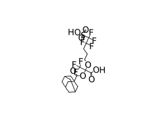 O=C(OC(OCCCC(F)(F)C(F)(F)S(=O)(=O)O)(C(=O)O)C(F)(F)F)C12CC3CC(CC(C3)C1)C2